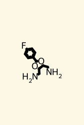 NCC1OC(c2ccc(F)cc2)OC1CN